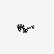 COC(=O)CCNCCc1ccc(OC)c(Nc2ncc(Cl)c(Nc3ccccc3S(=O)(=O)C(C)C)n2)c1